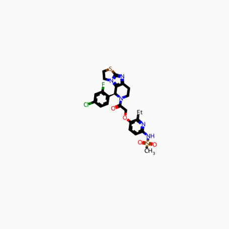 CCc1nc(NS(C)(=O)=O)ccc1OCC(=O)N1CCc2nc3n(c2[C@@H]1c1ccc(Cl)cc1F)CCS3